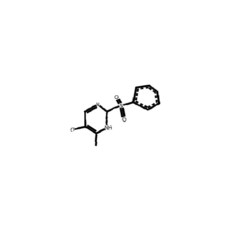 CC1=C(Cl)C=N[C](S(=O)(=O)c2ccccc2)N1